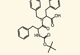 CC(C)(C)OC(=O)NC(Cc1ccccc1)C(=O)N(Cc1ccccc1)C(Cc1ccccc1)C(=O)O